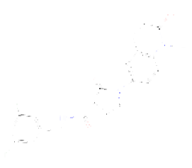 CN1C(=O)CCc2cc(N3CC[C@@](O)(C(=O)NCc4cc(F)cc(Cl)c4)C3=O)ccc21